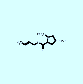 CC=CCOC(=O)C1C[C@@H](NC)CN1C(=O)O